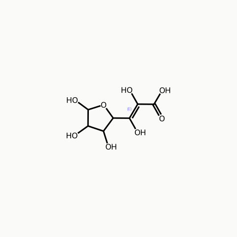 O=C(O)/C(O)=C(\O)C1OC(O)C(O)C1O